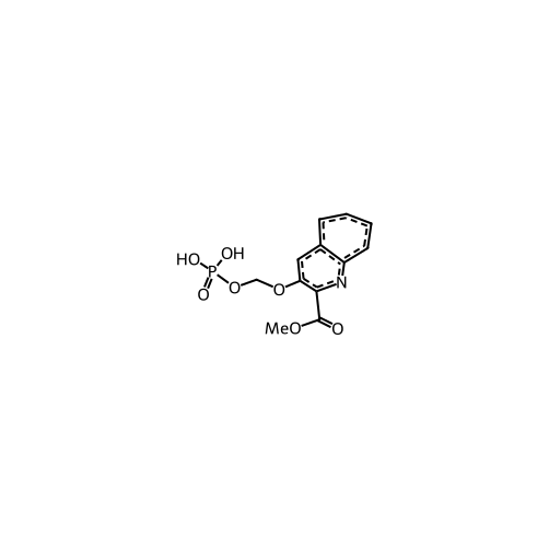 COC(=O)c1nc2ccccc2cc1OCOP(=O)(O)O